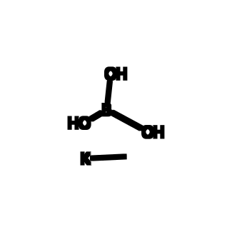 OB(O)O.[CH3][K]